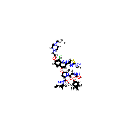 C=C[C@@H]1C[C@]1(NC(=O)[C@@H]1CC(OC2=CC(c3csc(NC(C)C)n3)Nc3c2ccc(OCCN2CCN(CC(F)(F)F)CC2)c3Cl)CN1C(=O)[C@@H](NC(=O)O[C@@H]1C[C@@H]2C[C@@H]2C1)C(C)(C)C)C(=O)O